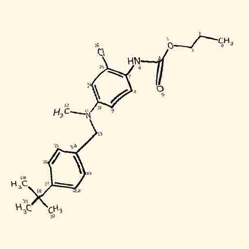 CCCOC(=O)Nc1ccc(N(C)Cc2ccc(C(C)(C)C)cc2)cc1Cl